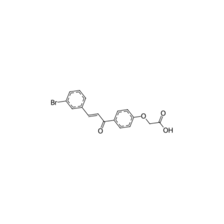 O=C(O)COc1ccc(C(=O)/C=C/c2cccc(Br)c2)cc1